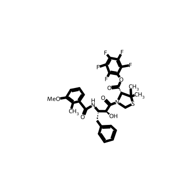 COc1cccc(C(=O)N[C@@H](Cc2ccccc2)[C@H](O)C(=O)N2CSC(C)(C)[C@H]2C(=O)Oc2c(F)c(F)c(F)c(F)c2F)c1C